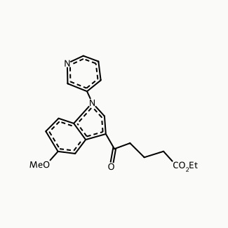 CCOC(=O)CCCC(=O)c1cn(-c2cccnc2)c2ccc(OC)cc12